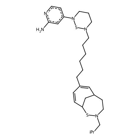 CC(C)CN1CCC2C=C(CCCCCCN3CCCN(c4ccnc(N)c4)S3)C=CC(C2)S1